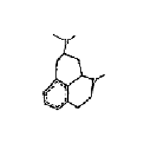 CN(C)C1Cc2cccc3c2C(C1)N(C)CC3